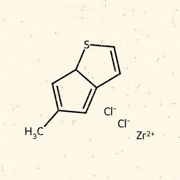 CC1=CC2SC=CC2=C1.[Cl-].[Cl-].[Zr+2]